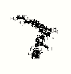 CC(C)CCCC(C)CCCC(C)CCCC(C)C.CCN(CC)CCc1nc(-c2ccccc2)no1.C[N+]1(CCCCC[N+]2(C)CCCC2)CCCC1.Clc1c(Cl)c(Cl)c(Cl)c(Cl)c1Cl.NS(=O)(=O)c1cc2c(cc1C(F)(F)F)NCNS2(=O)=O.O=C([O-])C(O)C(O)C(=O)O.O=C([O-])C(O)C(O)C(=O)O.OCCOCCN1CCN(C(c2ccccc2)c2ccc(Cl)cc2)CC1